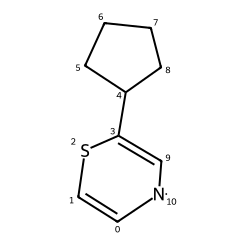 C1=CSC(C2CCCC2)=C[N]1